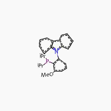 COc1cccc(-n2c3ccccc3c3ccccc32)c1P(C(C)C)C(C)C